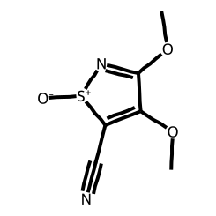 COc1n[s+]([O-])c(C#N)c1OC